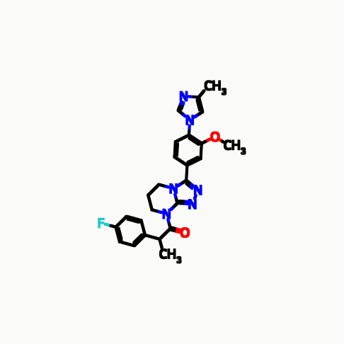 COc1cc(-c2nnc3n2CCCN3C(=O)C(C)c2ccc(F)cc2)ccc1-n1cnc(C)c1